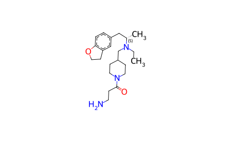 CCN(CC1CCN(C(=O)CCN)CC1)[C@@H](C)Cc1ccc2c(c1)CCO2